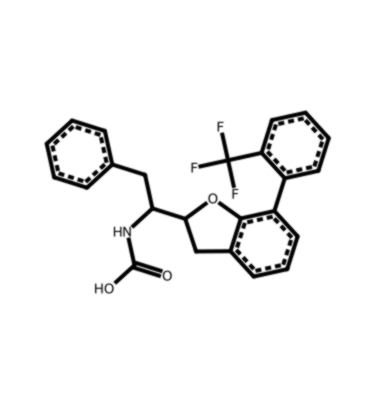 O=C(O)NC(Cc1ccccc1)C1Cc2cccc(-c3ccccc3C(F)(F)F)c2O1